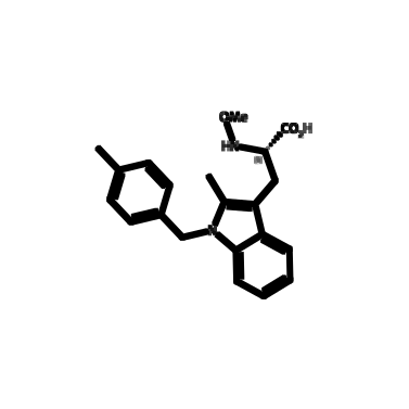 CON[C@@H](Cc1c(C)n(Cc2ccc(C)cc2)c2ccccc12)C(=O)O